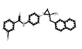 N[C@]1(Cc2ccc3ccccc3c2)C[C@H]1c1ccc(NC(=O)c2cccc(Cl)c2)cc1